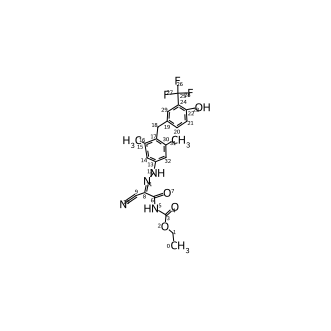 CCOC(=O)NC(=O)C(C#N)=NNc1cc(C)c(Cc2ccc(O)c(C(F)(F)F)c2)c(C)c1